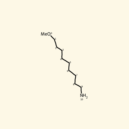 COCCCCCCCCCN